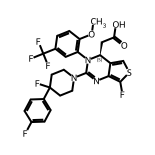 COc1ccc(C(F)(F)F)cc1N1C(N2CCC(F)(c3ccc(F)cc3)CC2)=Nc2c(csc2F)[C@@H]1CC(=O)O